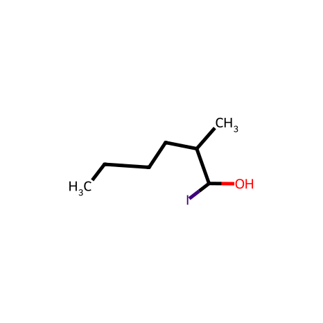 CCCCC(C)C(O)I